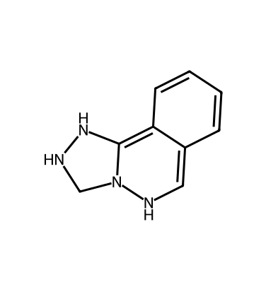 C1=c2ccccc2=C2NNCN2N1